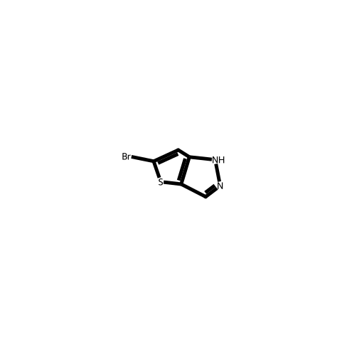 Brc1cc2[nH]ncc2s1